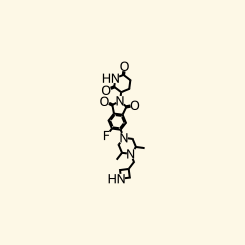 CC1CN(c2cc3c(cc2F)C(=O)N(C2CCC(=O)NC2=O)C3=O)CC(C)N1CC1CNC1